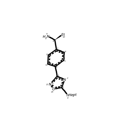 CCCCCCCc1nc(-c2ccc([C@@H](N)CC)cc2)no1